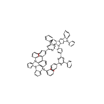 c1ccc(-c2cc(-c3cccc(-c4ccc5c6c4N(c4ccccc4)c4ccccc4B6c4ccccc4N5c4ccccc4)c3)nc(-c3cc(-c4nc(-c5ccccc5)nc(-c5ccccc5)n4)ccc3-n3c4ccccc4c4cc5c6ccccc6n(-c6ccccc6)c5cc43)n2)cc1